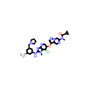 CN(C(=O)C1CC1)c1cn2ncc(Oc3cnc4nc(Nc5cc(CN6CCCC6)cc(C(F)(F)F)c5)n(C)c4c3Cl)c2cn1